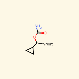 CCCCCC(OC(N)=O)C1CC1